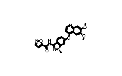 COc1cc2nccc(Oc3ccc4c(NC(=O)c5ccno5)nn(C)c4c3)c2cc1OC